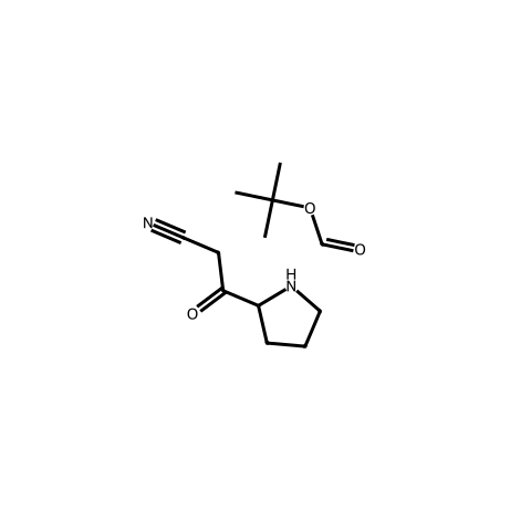 CC(C)(C)OC=O.N#CCC(=O)C1CCCN1